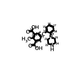 Cc1c(C(=O)O)cccc1C(=O)O.Cc1ccccc1N1CCNCC1